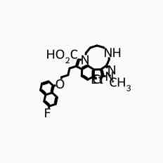 CCc1c2c(nn1C)CNCCCCn1c(C(=O)O)c(CCCOc3cccc4cc(F)ccc34)c3ccc(Cl)c-2c31